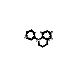 [c]1ncccc1N1CCCc2ccccc21